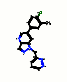 Cc1cc(-c2cnc3cnn(Cc4cccnn4)c3c2)ccc1Cl